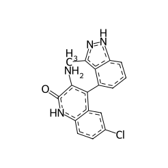 Cc1n[nH]c2cccc(-c3c(N)c(=O)[nH]c4ccc(Cl)cc34)c12